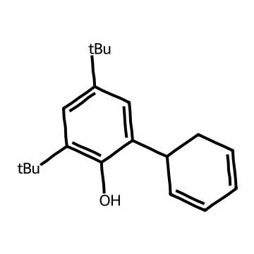 CC(C)(C)c1cc(C2C=CC=CC2)c(O)c(C(C)(C)C)c1